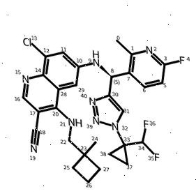 Cc1nc(F)ccc1[C@H](Nc1cc(Cl)c2ncc(C#N)c(NCC3(C)CCC3)c2c1)c1cn(C2(C(F)F)CC2)nn1